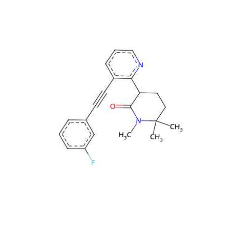 CN1C(=O)C(c2ncccc2C#Cc2cccc(F)c2)CCC1(C)C